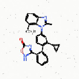 Cc1nc2cccc(C(=O)O)c2n1-c1ccc(-c2ccccc2-c2nc(=O)o[nH]2)c(C2CC2)c1